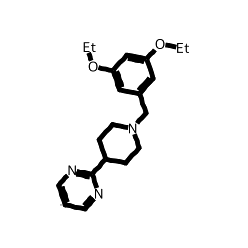 CCOc1cc(CN2CCC(c3nc[c]cn3)CC2)cc(OCC)c1